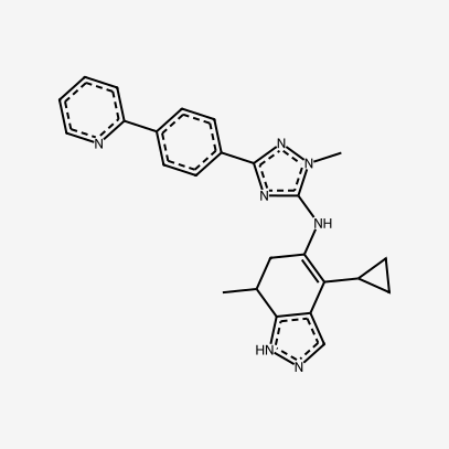 CC1CC(Nc2nc(-c3ccc(-c4ccccn4)cc3)nn2C)=C(C2CC2)c2cn[nH]c21